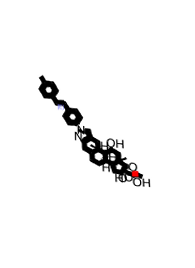 Cc1ccc(/C=C/c2ccc(-n3cc4c(n3)C=C3CC[C@@H]5[C@H]([C@@H](O)C[C@@]6(C)[C@H]5C[C@H]5OC(C)O[C@]56C(=O)CO)[C@@]3(C)C4)cc2)cc1